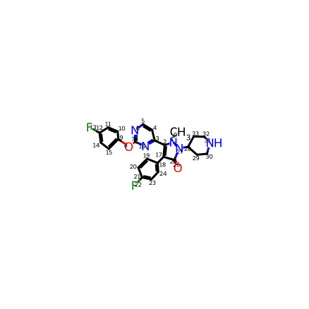 Cn1c(-c2ccnc(Oc3ccc(F)cc3)n2)c(-c2ccc(F)cc2)c(=O)n1C1CCNCC1